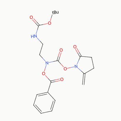 C=C1CCC(=O)N1OC(=O)N(CCNC(=O)OC(C)(C)C)OC(=O)c1ccccc1